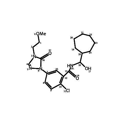 COCCn1cnn(-c2ccc(Cl)c(C(=O)NC(O)C3CCCCCC3)c2)c1=O